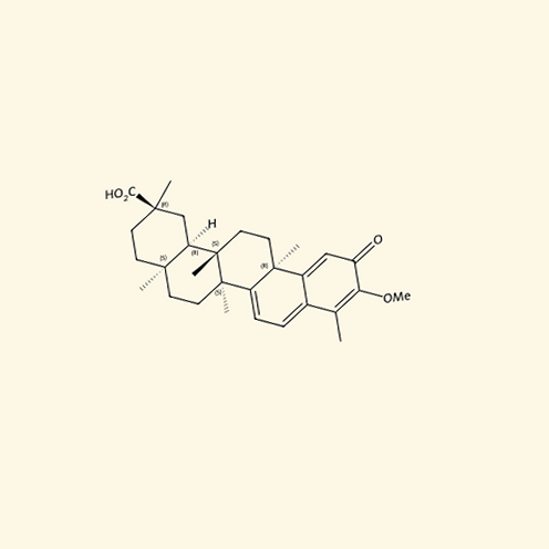 COC1=C(C)C2=CC=C3[C@@](C)(CC[C@@]4(C)[C@@H]5C[C@](C)(C(=O)O)CC[C@]5(C)CC[C@]34C)C2=CC1=O